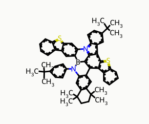 CC(C)(C)c1ccc(N2B3c4cc5c(cc4-n4c6ccc(C(C)(C)C)cc6c6c7sc8ccccc8c7c(c3c64)-c3cc4c(cc32)C(C)(C)CCC4(C)C)sc2ccccc25)cc1